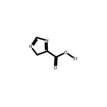 CCOC(=O)C1=NC=NC1